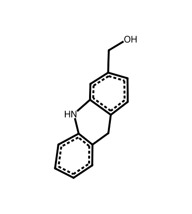 OCc1ccc2c(c1)Nc1ccccc1C2